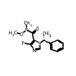 CON(C)C(=O)c1c(F)ncn1[C@H](C)c1ccccc1